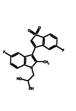 Cc1c(C2=CS(=O)(=O)c3ccc(F)cc32)c2cc(F)ccc2n1CC(O)O